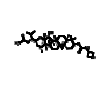 CC(C)[C@@H](OC(N)=O)[C@H]1C[C@@H](C)[C@H]2[C@H](O1)[C@H](O)[C@@]1(C)[C@@H]3CC[C@H]4C(C)(C)[C@@H](OC(=O)NC5CNC5)CC[C@@]45C[C@@]35CC[C@]21C